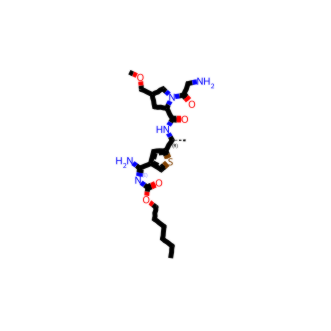 CCCCCCOC(=O)/N=C(/N)c1csc([C@@H](C)NC(=O)C2CC(COC)CN2C(=O)CN)c1